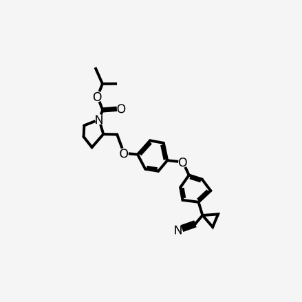 CC(C)OC(=O)N1CCCC1COc1ccc(Oc2ccc(C3(C#N)CC3)cc2)cc1